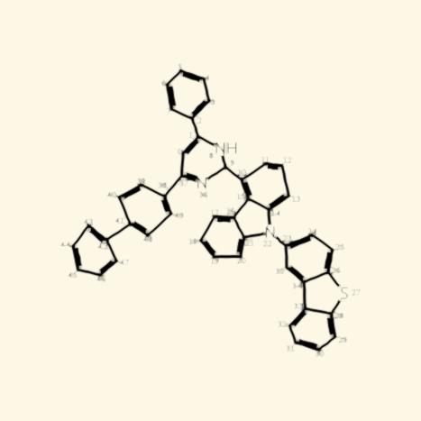 C1=C(c2ccccc2)NC(c2cccc3c2c2ccccc2n3-c2ccc3sc4ccccc4c3c2)N=C1c1ccc(-c2ccccc2)cc1